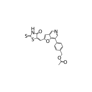 CC(=O)OCc1ccc(-c2cncc3cc(C=C4SC(=S)NC4=O)oc23)cc1